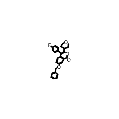 O=c1oc(C2CCOCC2)c(-c2ccc(F)cc2)c2ccc(OCc3ccccc3)cc12